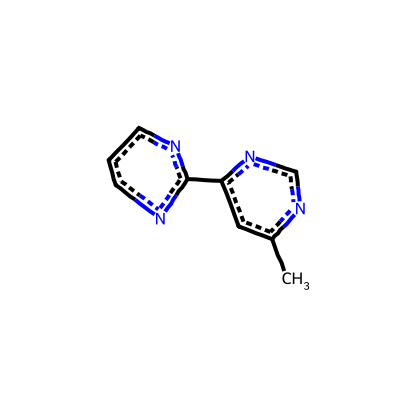 Cc1cc(-c2ncccn2)ncn1